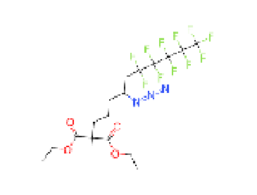 CCOC(=O)C(C)(CCCC(CC(F)(F)C(F)(F)C(F)(F)C(F)(F)C(F)(F)F)N=[N+]=[N-])C(=O)OCC